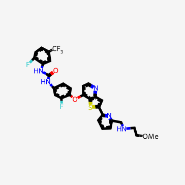 COCCNCc1cccc(-c2cc3nccc(Oc4ccc(NC(=O)Nc5cc(C(F)(F)F)ccc5F)cc4F)c3s2)n1